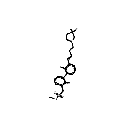 COS(=O)(=O)Cc1cccc(-c2cccc(/C=C/CCN3CCC(F)(F)C3)c2C)c1C